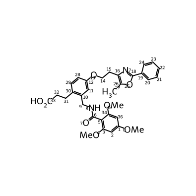 COc1cc(OC)c(C(=O)NCc2cc(OCCc3nc(-c4ccccc4)oc3C)ccc2CCC(=O)O)c(OC)c1